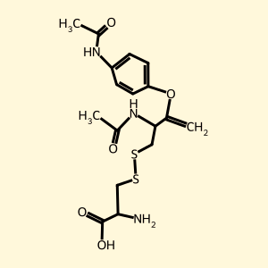 C=C(Oc1ccc(NC(C)=O)cc1)C(CSSCC(N)C(=O)O)NC(C)=O